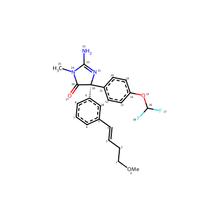 COCCC=Cc1cccc([C@@]2(c3ccc(OC(F)F)cc3)N=C(N)N(C)C2=O)c1